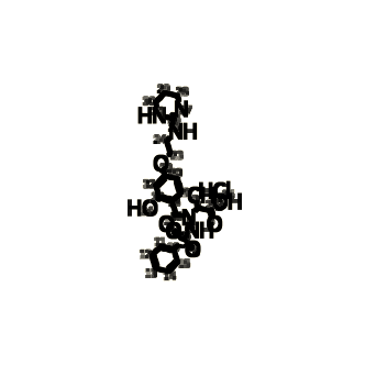 CC(C(=O)O)N(NS(=O)(=O)c1ccccc1)C(=O)c1ccc(OCCNC2=NCCCN2)cc1O.Cl